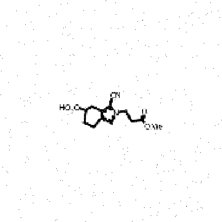 COC(=O)CCn1cc2c(c1C#N)CC(C(=O)O)CC2